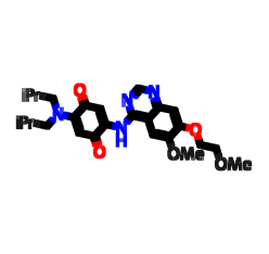 COCCOc1cc2ncnc(NC3=CC(=O)C(N(CC(C)C)CC(C)C)=CC3=O)c2cc1OC